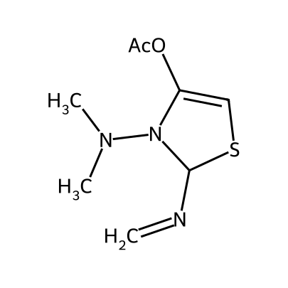 C=NC1SC=C(OC(C)=O)N1N(C)C